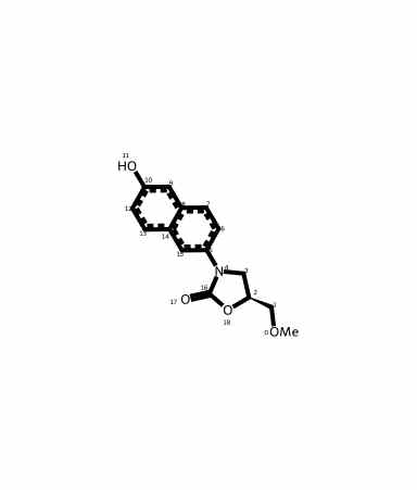 COC[C@@H]1CN(c2ccc3cc(O)ccc3c2)C(=O)O1